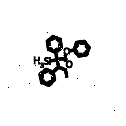 CCC(c1ccccc1)C([SiH3])(C(=O)Oc1ccccc1)c1ccccc1